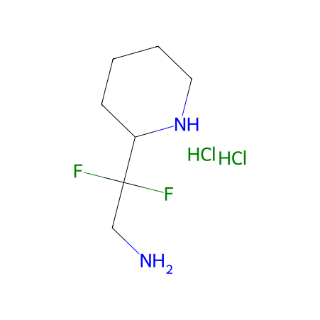 Cl.Cl.NCC(F)(F)C1CCCCN1